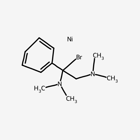 CN(C)CC(Br)(c1ccccc1)N(C)C.[Ni]